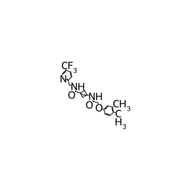 Cc1ccc(OCC(=O)NC23CC(C(=O)NCc4ccc(C(F)(F)F)cn4)(C2)C3)cc1C